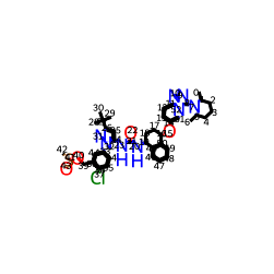 CC1CCCC(C)N1c1nnc2ccc(OC3CCC(NC(=O)Nc4cc(C(C)(C)C)nn4-c4ccc(Cl)c(COS(C)=O)c4)c4ccccc43)cn12